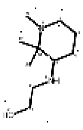 CN1CCCC(NCCO)C1(C)C